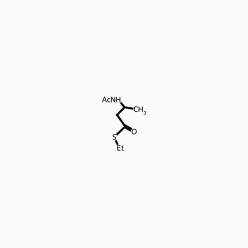 CCSC(=O)CC(C)NC(C)=O